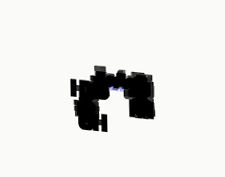 CC1=C(/C=C/C(C)=C/C=C/C(C)=C\C(=O)NCCc2ccc(O)cc2)C(C)(C)CC=C1c1cncnc1